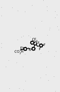 CCC(C)(C(=O)O)c1ccc(COc2cccc(-c3c(Cc4c(F)cc(F)cc4F)cnc4c(C(F)(F)F)cccc34)c2)cc1